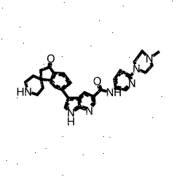 CN1CCN(c2ccc(NC(=O)c3cnc4[nH]cc(-c5ccc6c(c5)C5(CCNCC5)CC6=O)c4c3)cn2)CC1